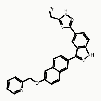 CC(C)Cc1nc(-c2ccc3[nH]nc(-c4ccc5cc(OCc6ccccn6)ccc5c4)c3c2)n[nH]1